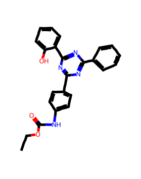 CCOC(=O)Nc1ccc(-c2nc(-c3ccccc3)nc(-c3ccccc3O)n2)cc1